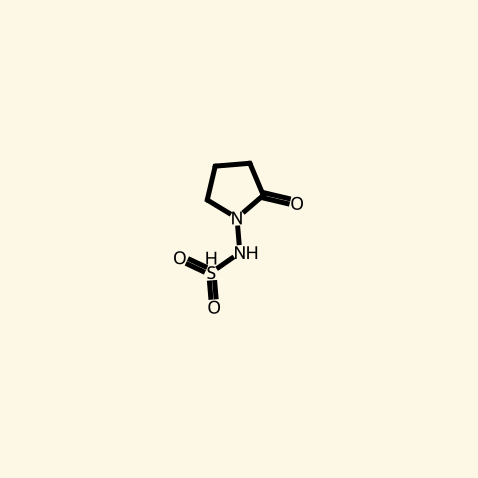 O=C1CCCN1N[SH](=O)=O